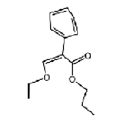 CCCOC(=O)C(=COCC)c1ccccc1